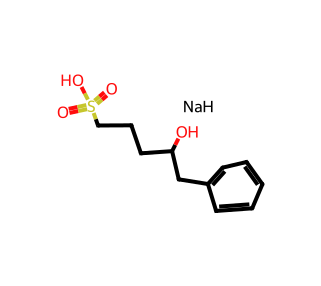 O=S(=O)(O)CCCC(O)Cc1ccccc1.[NaH]